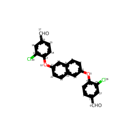 O=Cc1ccc(Oc2ccc3cc(Oc4ccc(C=O)cc4Cl)ccc3c2)c(Cl)c1